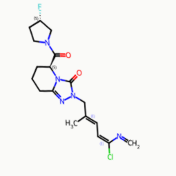 C=N/C(Cl)=C\C=C(/C)Cn1nc2n(c1=O)[C@H](C(=O)N1CC[C@H](F)C1)CCC2